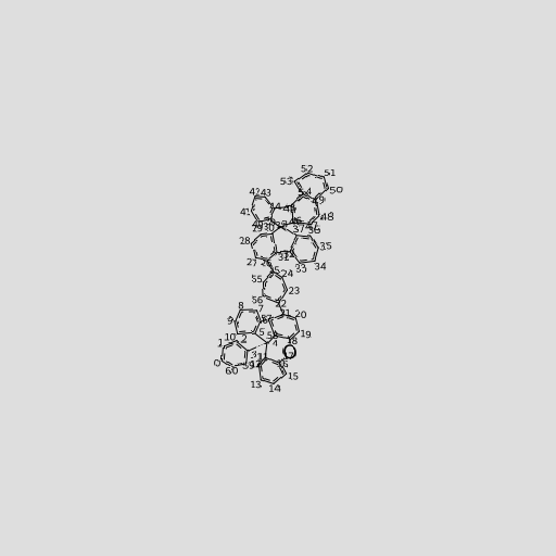 c1ccc(C2(c3ccccc3)c3ccccc3Oc3ccc(-c4ccc(-c5cccc6c5-c5ccccc5C65c6ccccc6-c6c5ccc5ccccc65)cc4)cc32)cc1